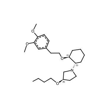 CCCCO[C@@H]1CCN([C@H]2CCCC[C@@H]2OCCc2ccc(OC)c(OC)c2)C1